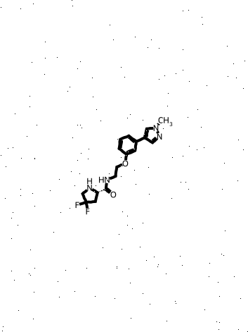 Cn1cc(-c2c[c]cc(OCCNC(=O)[C@@H]3CC(F)(F)CN3)c2)cn1